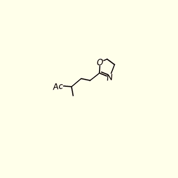 CC(=O)C(C)CCC1=NCCO1